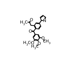 COc1cc(C(=O)c2ccc(C3C=CC=N3)cc2CC(C)=O)cc(OC)c1OC